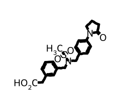 CS(=O)(=O)N(Cc1ccc(N2CCCC2=O)cc1)Cc1cccc(CC(=O)O)c1